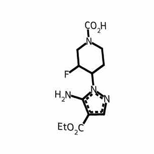 CCOC(=O)c1cnn(C2CCN(C(=O)O)CC2F)c1N